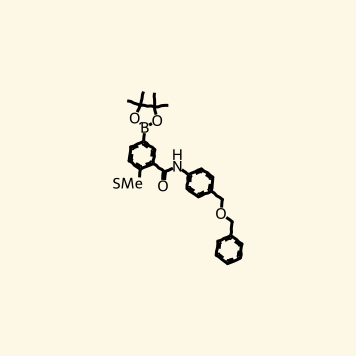 CSc1ccc(B2OC(C)(C)C(C)(C)O2)cc1C(=O)Nc1ccc(COCc2ccccc2)cc1